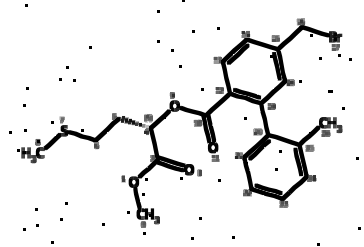 COC(=O)[C@H](CCSC)OC(=O)c1ccc(CBr)cc1-c1ccccc1C